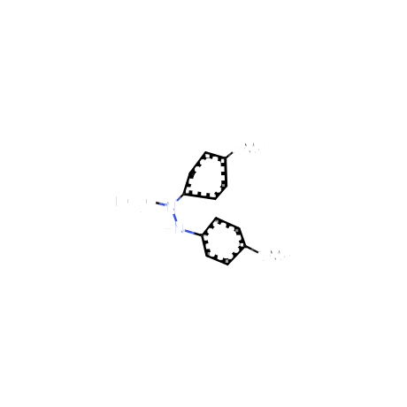 CSc1ccc(NN(C(=O)O)c2ccc(SC)cc2)cc1